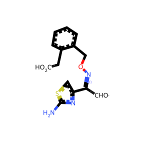 Nc1nc(/C([C]=O)=N\OCc2ccccc2CC(=O)O)cs1